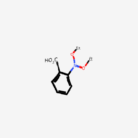 CCON(OCC)c1ccccc1C(=O)O